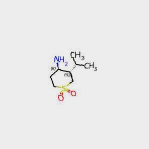 CC(C)[C@@H]1CS(=O)(=O)CC[C@H]1N